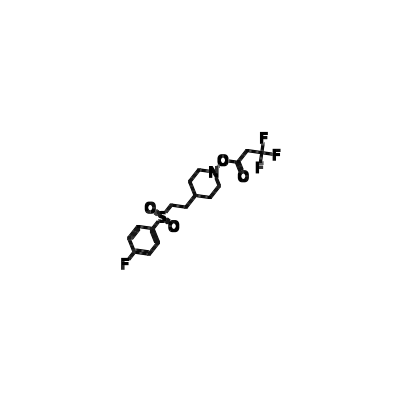 O=C(CC(F)(F)F)ON1CCC(CCS(=O)(=O)c2ccc(F)cc2)CC1